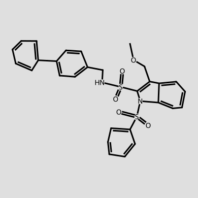 COCc1c(S(=O)(=O)NCc2ccc(-c3ccccc3)cc2)n(S(=O)(=O)c2ccccc2)c2ccccc12